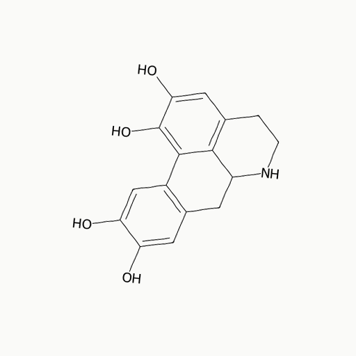 Oc1cc2c(cc1O)-c1c(O)c(O)cc3c1C(C2)NCC3